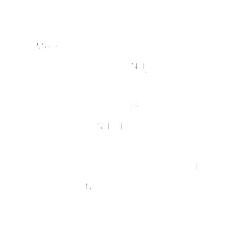 COc1ccc(Nc2cccnc2-c2ccc(Cl)cc2F)c(C(N)=O)c1